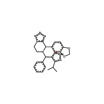 CC(C)c1n[nH]cc1C(c1ccccc1)N1CCn2nnnc2C1c1ccc2c(c1)OCO2